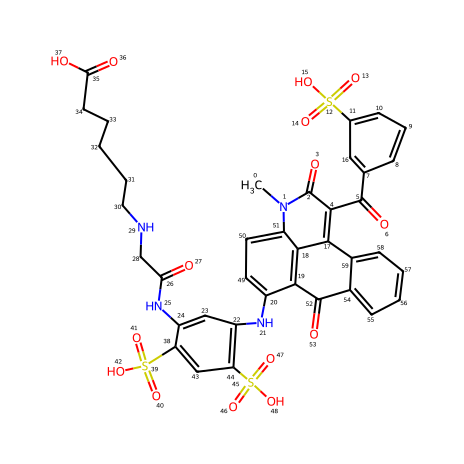 Cn1c(=O)c(C(=O)c2cccc(S(=O)(=O)O)c2)c2c3c(c(Nc4cc(NC(=O)CNCCCCCC(=O)O)c(S(=O)(=O)O)cc4S(=O)(=O)O)ccc31)C(=O)c1ccccc1-2